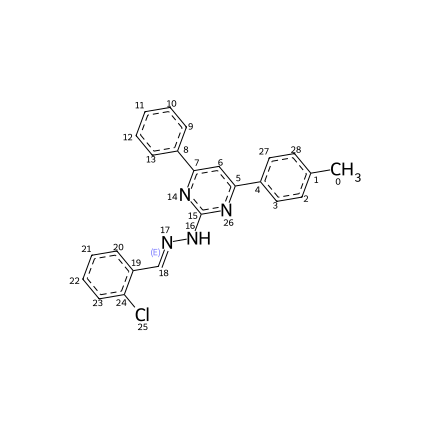 Cc1ccc(-c2cc(-c3ccccc3)nc(N/N=C/c3ccccc3Cl)n2)cc1